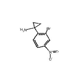 NC1(c2ccc([N+](=O)[O-])cc2Br)CC1